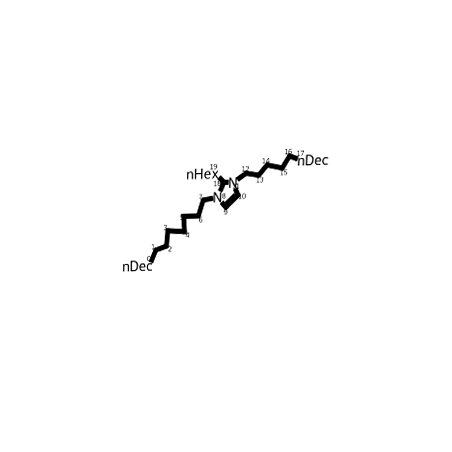 CCCCCCCCCCCCCCCCCN1C=CN(CCCCCCCCCCCCCCC)C1CCCCCC